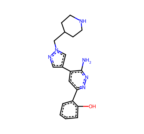 Nc1nnc(-c2ccccc2O)cc1-c1cnn(CC2CCNCC2)c1